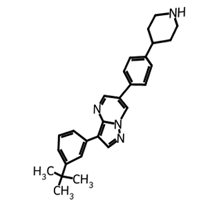 CC(C)(C)c1cccc(-c2cnn3cc(-c4ccc(C5CCNCC5)cc4)cnc23)c1